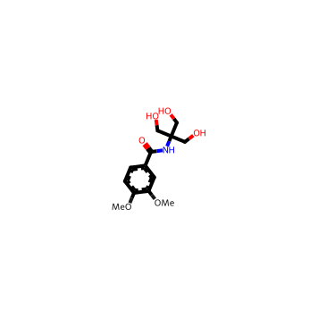 COc1ccc(C(=O)NC(CO)(CO)CO)cc1OC